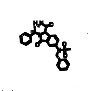 C[C@H](c1ccccc1)N1C(=O)c2cc(N(Cc3ccccc3)S(C)(=O)=O)ccc2C1C(N)=O